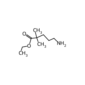 CCOC(=O)C(C)(C)CCCN